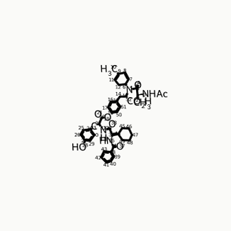 CC(=O)N[C@@H](C)C(=O)N(C1C=CC(C)=CC1)[C@@H](Cc1ccc(OC(=O)[C@H](Cc2ccc(O)cc2)NC(=O)C(NC(=O)c2ccccc2)=C2CCCCC2)cc1)C(=O)O